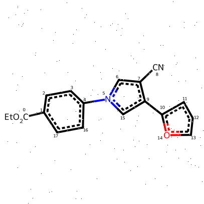 CCOC(=O)c1ccc(-n2cc(C#N)c(-c3ccco3)c2)cc1